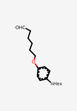 CCCCCCc1ccc(OCCCCC[C]=O)cc1